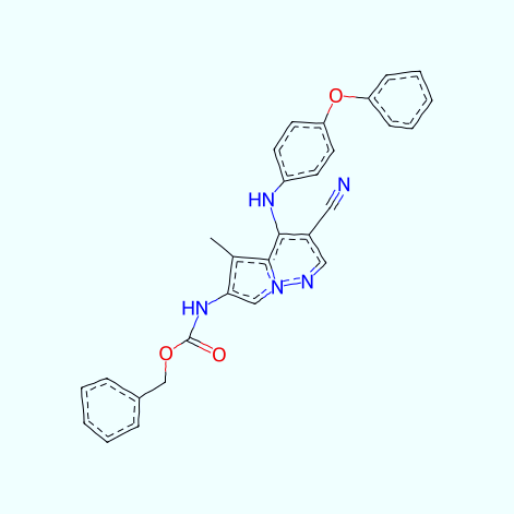 Cc1c(NC(=O)OCc2ccccc2)cn2ncc(C#N)c(Nc3ccc(Oc4ccccc4)cc3)c12